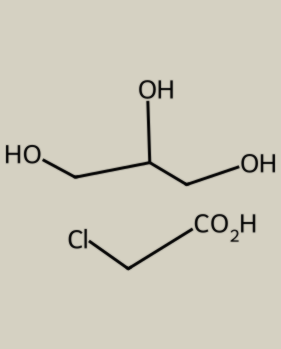 O=C(O)CCl.OCC(O)CO